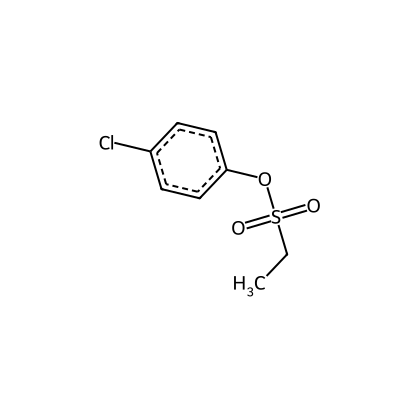 CCS(=O)(=O)Oc1ccc(Cl)cc1